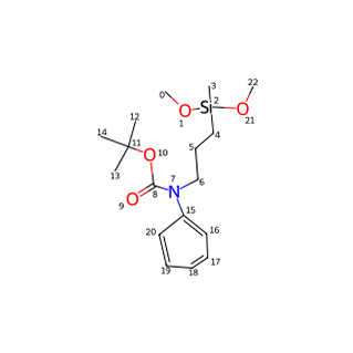 CO[Si](C)(CCCN(C(=O)OC(C)(C)C)c1ccccc1)OC